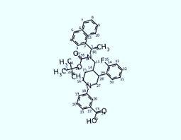 C[C@H](c1cccc2ccccc12)N(CC1CCN(c2cccc(C(=O)O)c2)CC1c1ccccc1F)C(=O)OC(C)(C)C